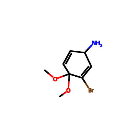 COC1(OC)C=CC(N)C=C1Br